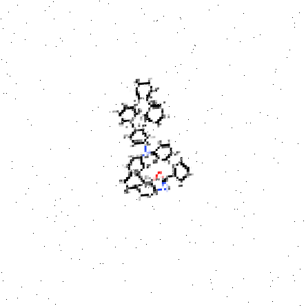 c1ccc(-c2nc3ccc4ccc5ccc(N(c6ccccc6)c6ccc(-c7ccccc7-c7ccccc7-c7ccccc7)cc6)cc5c4c3o2)cc1